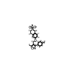 Cc1onc(-c2ccc(F)cc2)c1COc1ccc2c(n1)CCN(S(C)(=O)=O)C2